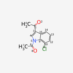 CC(=O)c1cn(C(C)=O)c2c(Cl)cccc12